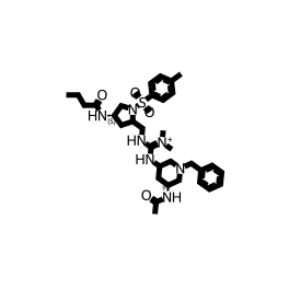 CCCC(=O)N[C@H]1CC(CNC(NC2C[C@@H](NC(C)=O)CN(Cc3ccccc3)C2)=[N+](C)C)N(S(=O)(=O)c2ccc(C)cc2)C1